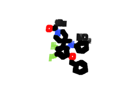 CC(C)(C)C(=O)N1CCC2(CC1)CN(c1ccccc1[N+](=O)[O-])c1c(OCc3ccccc3)cc(F)c(F)c12